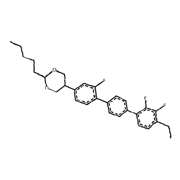 CCCCCC1OCC(c2ccc(-c3ccc(-c4ccc(CC)c(F)c4F)cc3)c(F)c2)CO1